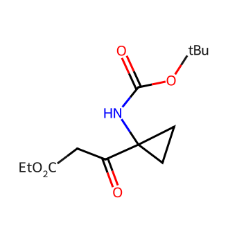 CCOC(=O)CC(=O)C1(NC(=O)OC(C)(C)C)CC1